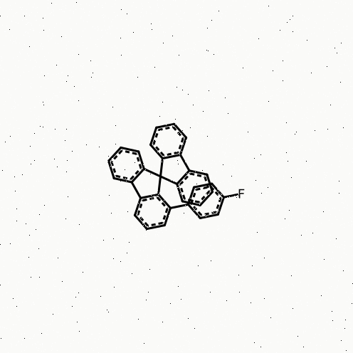 Fc1ccc(-c2cccc3c2C2(c4ccccc4-c4ccccc42)c2ccccc2-3)cc1